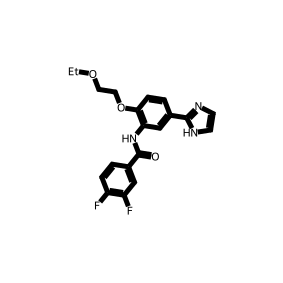 CCOCCOc1ccc(-c2ncc[nH]2)cc1NC(=O)c1ccc(F)c(F)c1